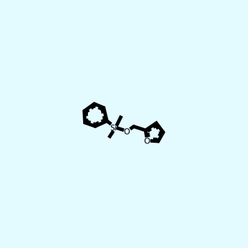 C[Si](C)(OCc1ccco1)c1ccccc1